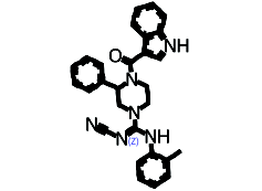 Cc1ccccc1N/C(=N/C#N)N1CCN(C(=O)c2c[nH]c3ccccc23)C(c2ccccc2)C1